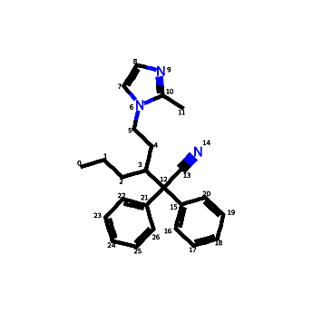 CCCC(CCn1ccnc1C)C(C#N)(c1ccccc1)c1ccccc1